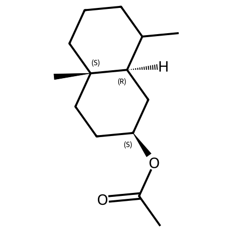 CC(=O)O[C@H]1CC[C@]2(C)CCCC(C)[C@H]2C1